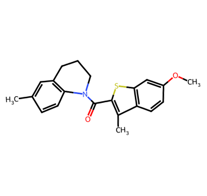 COc1ccc2c(C)c(C(=O)N3CCCc4cc(C)ccc43)sc2c1